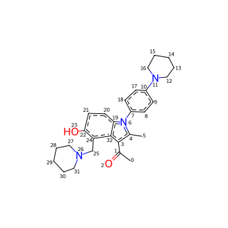 CC(=O)c1c(C)n(-c2ccc(N3CCCCC3)cc2)c2ccc(O)c(CN3CCCCC3)c12